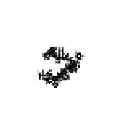 CC[C@@]1(O)C(=O)OCc2c1cc1n(c2=O)Cc2c-1nc1ccc(NC(=O)CNC(=O)[C@H](Cc3ccccc3)NC(=O)CNC(=O)CNC(=O)OCC3c4ccccc4-c4ccccc43)c3c1c2CCC3